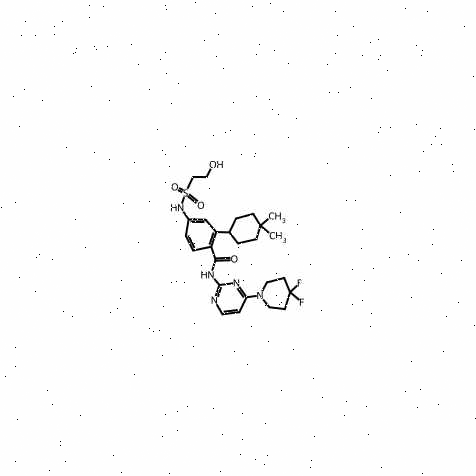 CC1(C)CCC(c2cc(NS(=O)(=O)CCO)ccc2C(=O)Nc2nccc(N3CCC(F)(F)CC3)n2)CC1